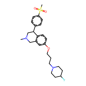 CN1Cc2cc(OCCCN3CCC(F)CC3)ccc2C(c2ccc(S(C)(=O)=O)cc2)C1